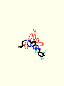 CCC1CCN2C(=O)c3c(O)c(=O)c(C(=O)NCc4c(F)cc(F)cc4F)cn3CC2O1